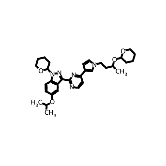 CC(C)Oc1ccc2c(c1)c(-c1nccc(-c3ccn(CCC(C)OC4CCCCO4)c3)n1)nn2C1CCCCO1